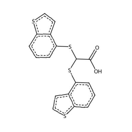 O=C(O)C(Sc1cccc2sccc12)Sc1cccc2sccc12